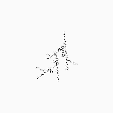 CCCCCCCCC(CCCC(=O)OCC(CCCCC)CCCCC)OC(=O)OCCN(CCOC(=O)OC(CCCCCCCC)CCCC(=O)OCC(CCCCC)CCCCC)CCN(CC)CC